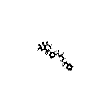 C=NC1=C(/C=C(/C)CC)C(=O)N(c2cccc(N/C=C(\C)CCN(C)Cc3ccccc3)c2)CCN1C